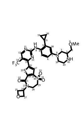 COCC1CN(c2ccc(Nc3ncc(C(F)(F)F)c(-c4cc5c(s4)C(=O)N(C4COC4)CCS5(=O)=O)n3)c(C3CC3)c2)CCN1